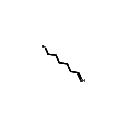 N=CCCCCCBr